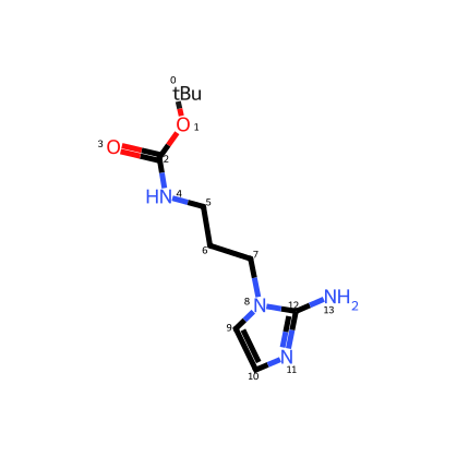 CC(C)(C)OC(=O)NCCCn1ccnc1N